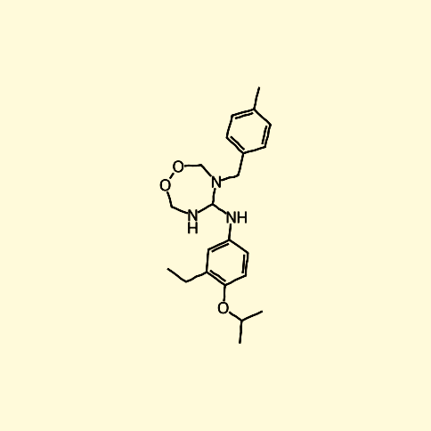 CCc1cc(NC2NCOOCN2Cc2ccc(C)cc2)ccc1OC(C)C